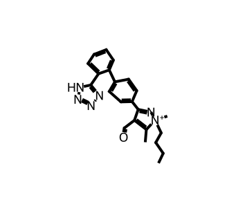 CCCC[N+]1(C)N=C(c2ccc(-c3ccccc3-c3nnn[nH]3)cc2)C(C=O)=C1C